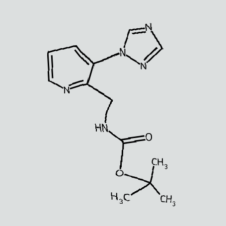 CC(C)(C)OC(=O)NCc1ncccc1-n1cncn1